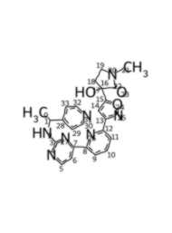 CC(Nc1nccc(-c2cccc(-c3cc(C4(O)CCN(C)C4=O)on3)n2)n1)c1ccncc1